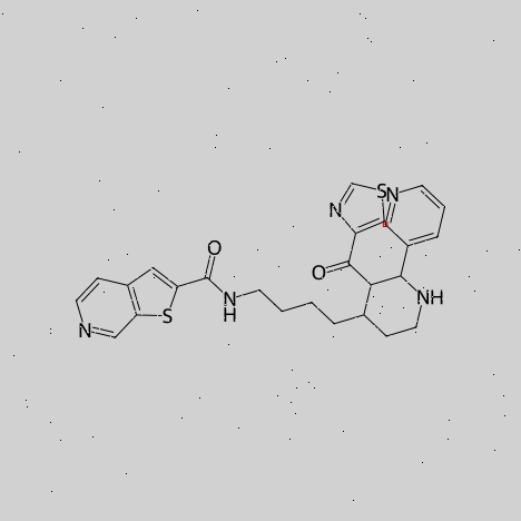 O=C(NCCCCC1CCNC(c2cccnc2)C1C(=O)c1cscn1)c1cc2ccncc2s1